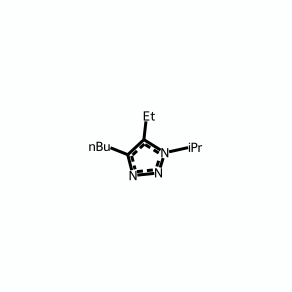 CCCCc1nnn(C(C)C)c1CC